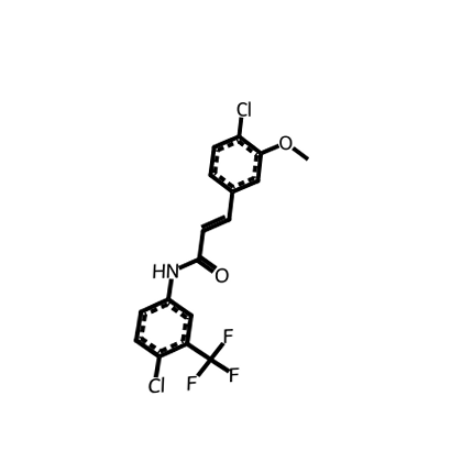 COc1cc(/C=C/C(=O)Nc2ccc(Cl)c(C(F)(F)F)c2)ccc1Cl